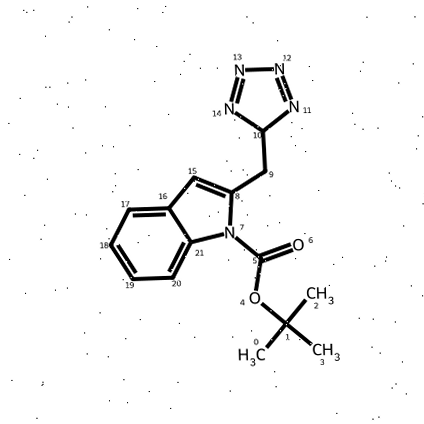 CC(C)(C)OC(=O)n1c(CC2N=NN=N2)[c]c2ccccc21